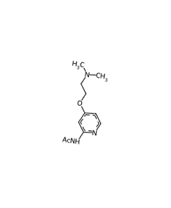 CC(=O)Nc1cc(OCCN(C)C)ccn1